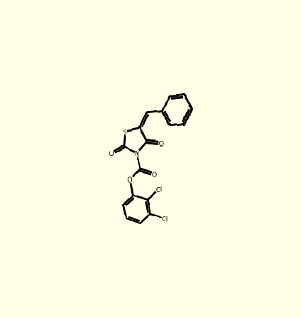 O=C(Oc1cccc(Cl)c1Cl)N1C(=O)SC(=Cc2ccccc2)C1=O